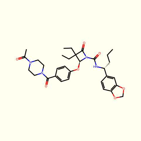 CCC[C@@H](NC(=O)N1C(=O)C(CC)(CC)[C@@H]1Oc1ccc(C(=O)N2CCN(C(C)=O)CC2)cc1)c1ccc2c(c1)OCO2